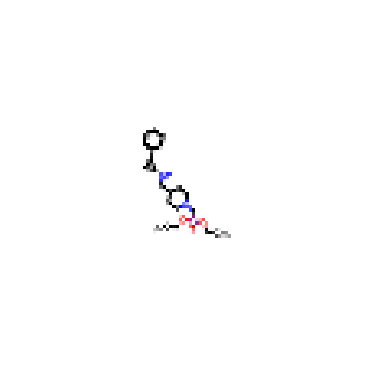 CCOP(=O)(CN1CCC(CN[C@@H]2C[C@H]2c2ccccc2)CC1)OCC